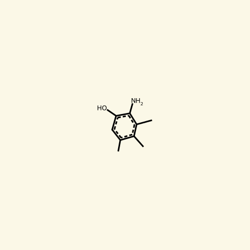 Cc1cc(O)c(N)c(C)c1C